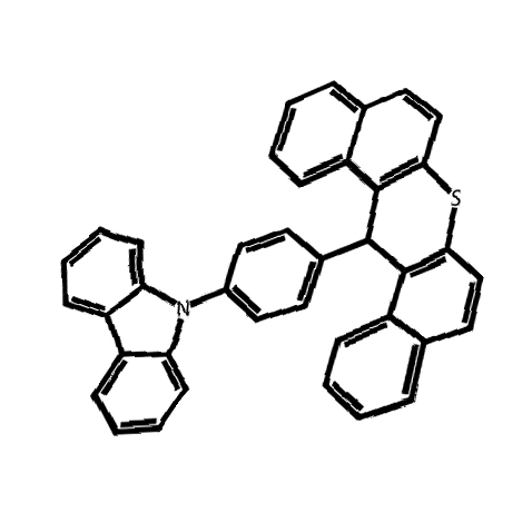 c1ccc2c3c(ccc2c1)Sc1ccc2ccccc2c1C3c1ccc(-n2c3ccccc3c3ccccc32)cc1